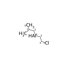 CC(C)[CH2][AlH][CH2]CCl